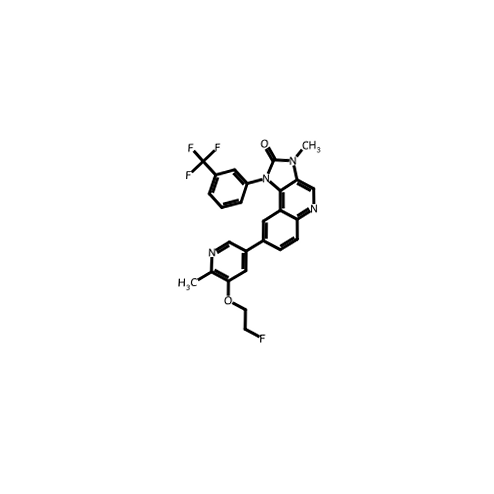 Cc1ncc(-c2ccc3ncc4c(c3c2)n(-c2cccc(C(F)(F)F)c2)c(=O)n4C)cc1OCCF